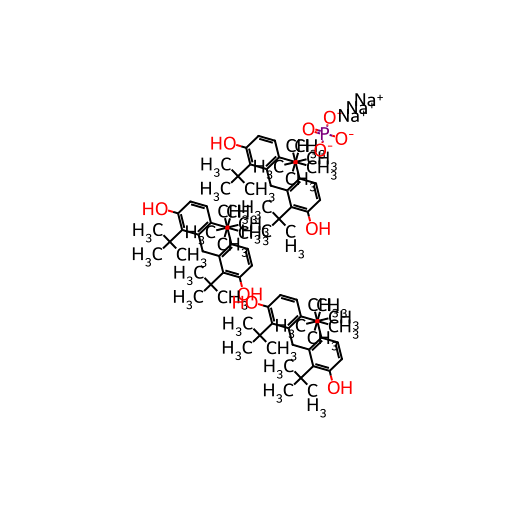 CC(C)(C)c1ccc(O)c(C(C)(C)C)c1Cc1c(C(C)(C)C)ccc(O)c1C(C)(C)C.CC(C)(C)c1ccc(O)c(C(C)(C)C)c1Cc1c(C(C)(C)C)ccc(O)c1C(C)(C)C.CC(C)(C)c1ccc(O)c(C(C)(C)C)c1Cc1c(C(C)(C)C)ccc(O)c1C(C)(C)C.O=P([O-])([O-])[O-].[Na+].[Na+].[Na+]